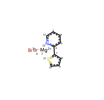 [Br-].[Br-].[Mg+2].c1ccc(-c2cccs2)nc1